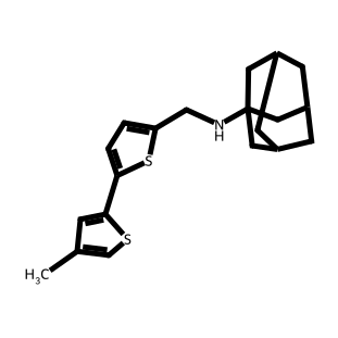 Cc1csc(-c2ccc(CNC34CC5CC(CC(C5)C3)C4)s2)c1